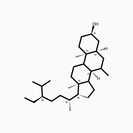 CC[C@H](CC[C@@H](C)[C@H]1CCC2[C@@H]3C(C)C[C@@H]4C[C@H](O)CC[C@]4(C)C3CC[C@@]21C)C(C)C